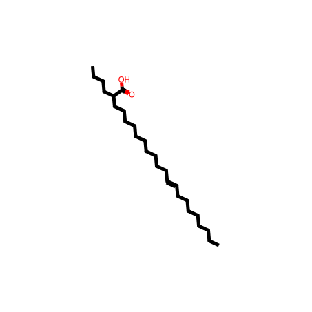 CCCCCCCCC=CCCCCCCCCCCC(CCCC)C(=O)O